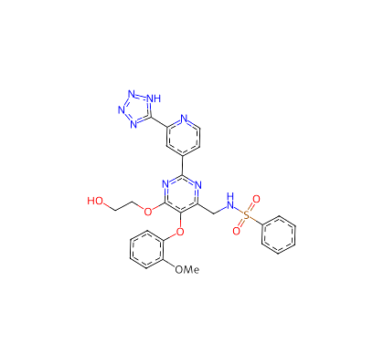 COc1ccccc1Oc1c(CNS(=O)(=O)c2ccccc2)nc(-c2ccnc(-c3nnn[nH]3)c2)nc1OCCO